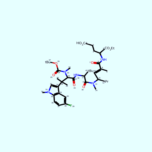 CCOC(=O)C(CCC(=O)O)NC(=O)/C(C)=C/C(C(C)C)N(C)C(=O)C(NC(=O)C(N(C)C(=O)OC(C)(C)C)C(C)(C)c1cn(C)c2ccc(F)cc12)C(C)(C)C